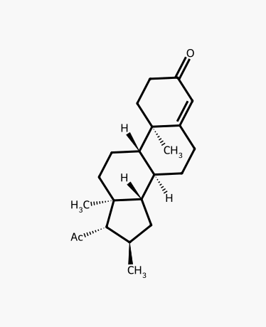 CC(=O)[C@H]1[C@H](C)C[C@H]2[C@@H]3CCC4=CC(=O)CC[C@]4(C)[C@H]3CC[C@@]21C